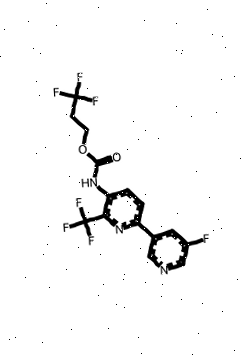 O=C(Nc1ccc(-c2cncc(F)c2)nc1C(F)(F)F)OCCC(F)(F)F